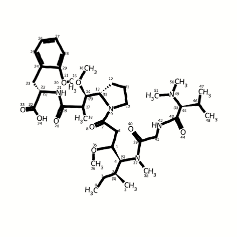 CC[C@H](C)[C@@H](C(CC(=O)N1CCC[C@H]1[C@H](OC)C(C)C(=O)N[C@@H](Cc1ccccc1OC)C(=O)O)OC)N(C)C(=O)CNC(=O)[C@H](C(C)C)N(C)C